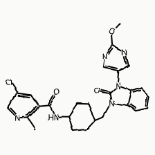 COc1ncc(-n2c(=O)n(CC3CCC(NC(=O)c4cc(Cl)cnc4C)CC3)c3ccccc32)cn1